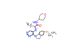 C/C(=N\c1cncnc1N1CCc2cc(OC(C)C)ccc21)C(=O)NC1CCOCC1